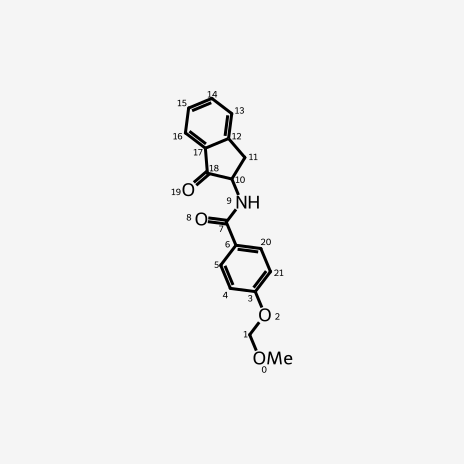 COCOc1ccc(C(=O)NC2Cc3ccccc3C2=O)cc1